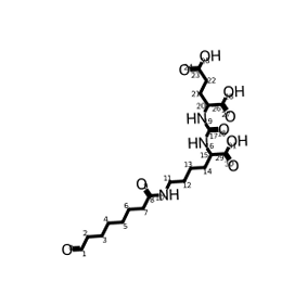 O=CCCCCCCC(=O)NCCCCC(NC(=O)NC(CCC(=O)O)C(=O)O)C(=O)O